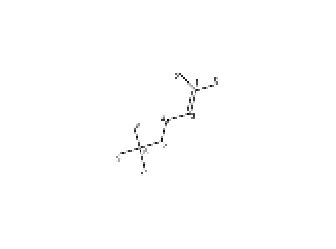 CC(C)=CCCC(C)(C)C